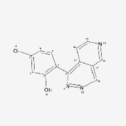 Oc1cc(Cl)ccc1-c1nncc2cnccc12